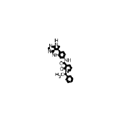 C[C@@H](c1ccccc1)n1cccc(C(=O)Nc2ccc(-c3c[nH]c4ncnc(N)c34)cc2)c1=O